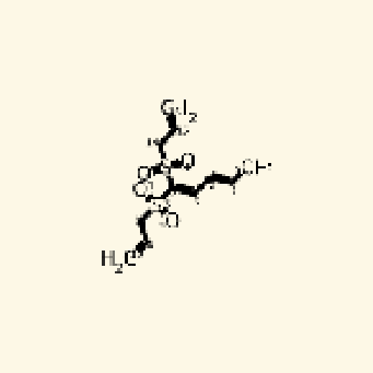 [CH]C=CC=C(S(=O)(=O)CC=C)S(=O)(=O)CC=C